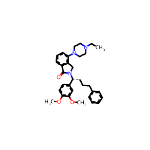 CCN1CCN(c2cccc3c2CN([C@H](CCCc2ccccc2)c2ccc(OC)c(OC)c2)C3=O)CC1